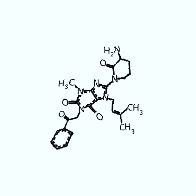 CC(C)=CCn1c(N2CCCC(N)C2=O)nc2c1c(=O)n(CC(=O)c1ccccc1)c(=O)n2C